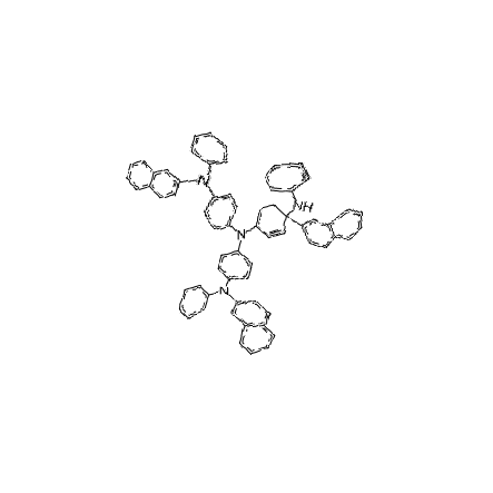 C1=CC(Nc2ccccc2)(c2ccc3ccccc3c2)CC=C1N(c1ccc(N(c2ccccc2)c2ccc3ccccc3c2)cc1)c1ccc(N(c2ccccc2)c2ccc3ccccc3c2)cc1